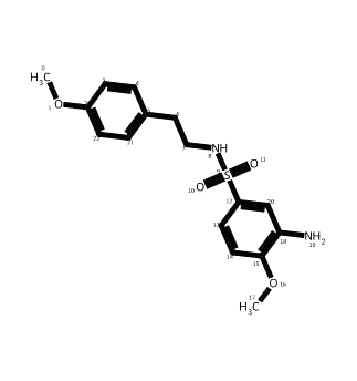 COc1ccc(CCNS(=O)(=O)c2ccc(OC)c(N)c2)cc1